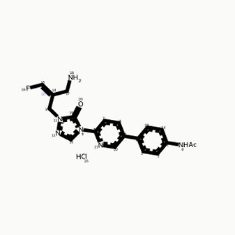 CC(=O)Nc1ccc(-c2ccc(-n3cnn(C/C(=C\F)CN)c3=O)nc2)cc1.Cl